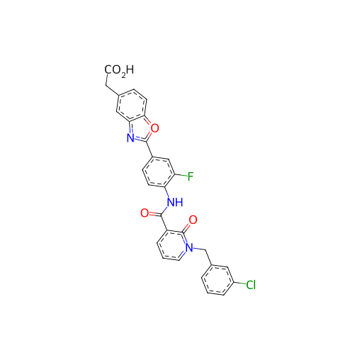 O=C(O)Cc1ccc2oc(-c3ccc(NC(=O)c4cccn(Cc5cccc(Cl)c5)c4=O)c(F)c3)nc2c1